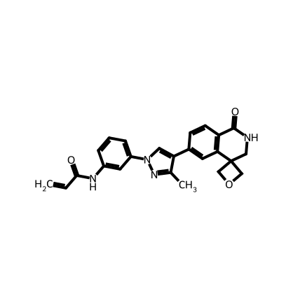 C=CC(=O)Nc1cccc(-n2cc(-c3ccc4c(c3)C3(CNC4=O)COC3)c(C)n2)c1